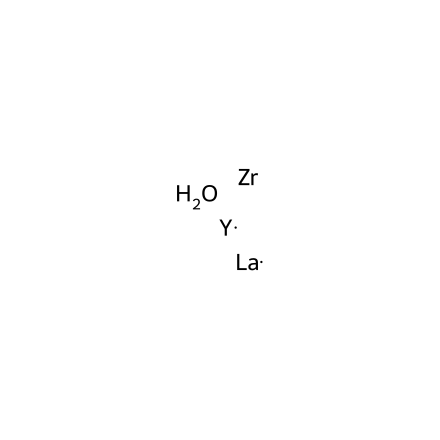 O.[La].[Y].[Zr]